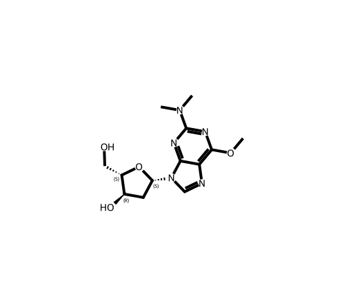 COc1nc(N(C)C)nc2c1ncn2[C@@H]1C[C@@H](O)[C@H](CO)O1